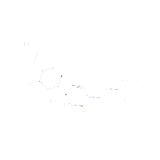 CC(C)C1=CN(CCC(C)C(=O)O)C(=O)NC1(C)c1ccc(CCC(C)(C)C)c(Cl)c1